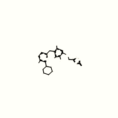 Cc1cc(OCc2noc(=O)[nH]2)c(Cl)c(C)c1Cc1ccc(O)c(C2CCCCC2)n1